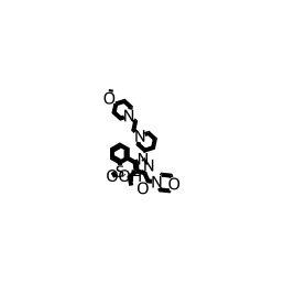 CCc1c(C(=O)N2CCOCC2)nn([C@H]2CCCN(CCN3CCC(OC)CC3)C2)c1-c1ccccc1S(=O)O